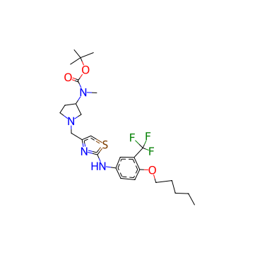 CCCCCOc1ccc(Nc2nc(CN3CCC(N(C)C(=O)OC(C)(C)C)C3)cs2)cc1C(F)(F)F